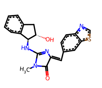 CN1C(=O)/C(=C/c2ccc3ncsc3c2)N=C1N[C@H]1c2ccccc2C[C@@H]1O